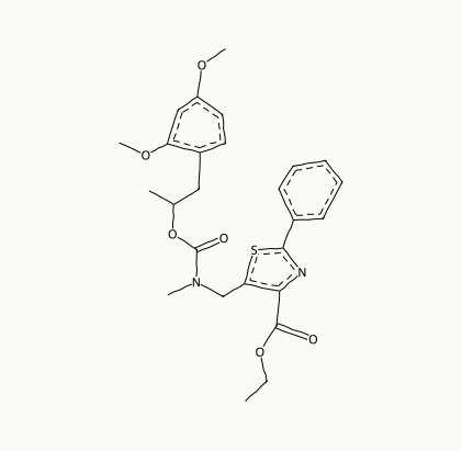 CCOC(=O)c1nc(-c2ccccc2)sc1CN(C)C(=O)OC(C)Cc1ccc(OC)cc1OC